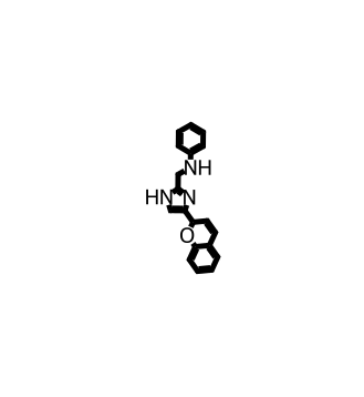 C1=CC(c2c[nH]c(CNc3ccccc3)n2)Oc2ccccc21